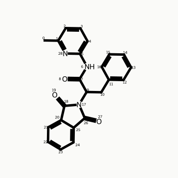 Cc1cccc(NC(=O)C(Cc2ccccc2)N2C(=O)c3ccccc3C2=O)n1